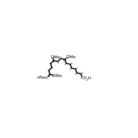 CCCCCC(CCCC(CCC(CCCCCCC(=O)O)OC)OC)OC